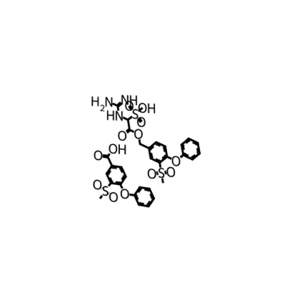 CS(=O)(=O)c1cc(C(=O)O)ccc1Oc1ccccc1.CS(=O)(=O)c1cc(COC(=O)C(NC(=N)N)S(=O)(=O)O)ccc1Oc1ccccc1